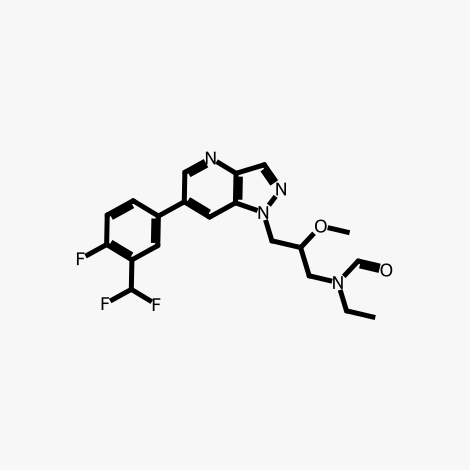 CCN(C=O)CC(Cn1ncc2ncc(-c3ccc(F)c(C(F)F)c3)cc21)OC